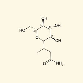 CC(CC(N)=O)C1O[C@H](CO)[C@@H](O)[C@H](O)[C@H]1O